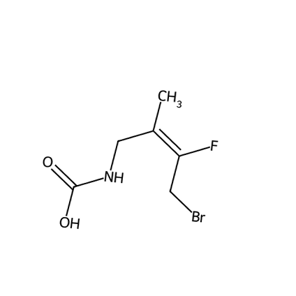 CC(CNC(=O)O)=C(F)CBr